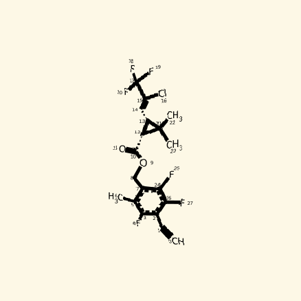 C#Cc1c(F)c(C)c(COC(=O)[C@@H]2[C@H](/C=C(\Cl)C(F)(F)F)C2(C)C)c(F)c1F